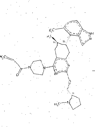 C=CC(=O)N1CCN(c2nc(OC[C@@H]3CCCN3C)nc3c2C[C@@H](C)[C@H](c2c(C)ccc4[nH]ncc24)C3)CC1